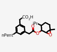 CCCCCc1cc(CC(=O)O)cc(CC(=O)OC2C(C(C)C)CCC3(C)OC23)c1